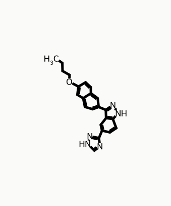 CCCCOc1ccc2cc(-c3n[nH]c4ccc(-c5nc[nH]n5)cc34)ccc2c1